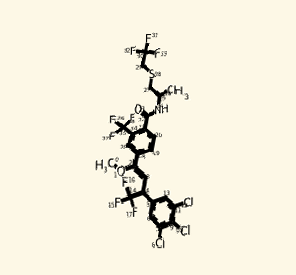 CO/C(=C\C(c1cc(Cl)c(Cl)c(Cl)c1)C(F)(F)F)c1ccc(C(=O)NC(C)CSCC(F)(F)F)c(C(F)(F)F)c1